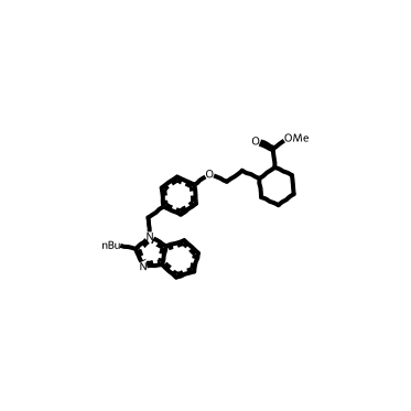 CCCCc1nc2ccccc2n1Cc1ccc(OCCC2CCCCC2C(=O)OC)cc1